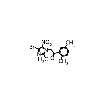 Cc1ccc(C)c(C(=O)Cn2c(C)nc(Br)c2[N+](=O)[O-])c1